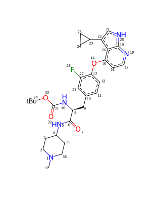 CN1CCC(NC(=O)[C@H](Cc2ccc(Oc3ccnc4[nH]cc(C5CC5)c34)c(F)c2)NC(=O)OC(C)(C)C)CC1